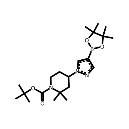 CC(C)(C)OC(=O)N1CCC(n2cc(B3OC(C)(C)C(C)(C)O3)cn2)CC1(C)C